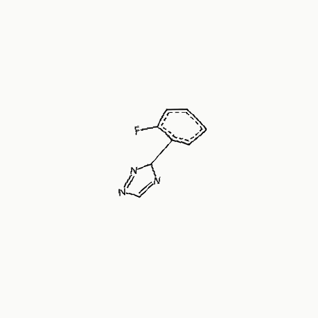 Fc1ccccc1[C]1N=CN=N1